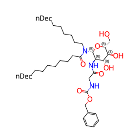 CCCCCCCCCCCCCCCCCC(=O)N(CCCCCCCCCCCCCCCC)[C@@H]1O[C@H](CO)[C@@H](O)[C@H](O)[C@H]1NC(=O)CNC(=O)OCc1ccccc1